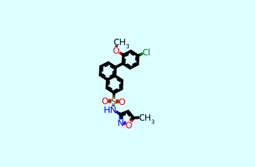 COc1cc(Cl)ccc1-c1cccc2cc(S(=O)(=O)Nc3cc(C)on3)ccc12